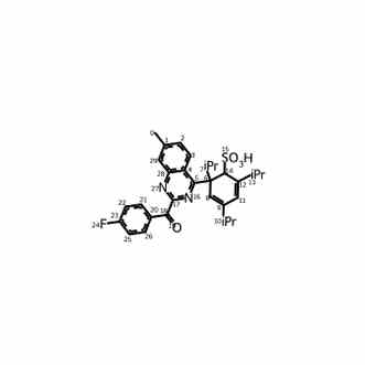 Cc1ccc2c(C3(C(C)C)C=C(C(C)C)C=C(C(C)C)C3S(=O)(=O)O)nc(C(=O)c3ccc(F)cc3)nc2c1